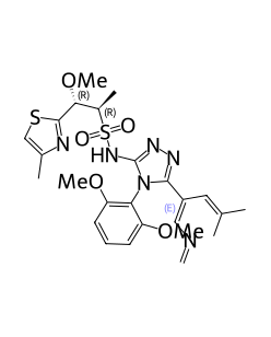 C=N/C=C(\C=C(C)C)c1nnc(NS(=O)(=O)[C@H](C)[C@@H](OC)c2nc(C)cs2)n1-c1c(OC)cccc1OC